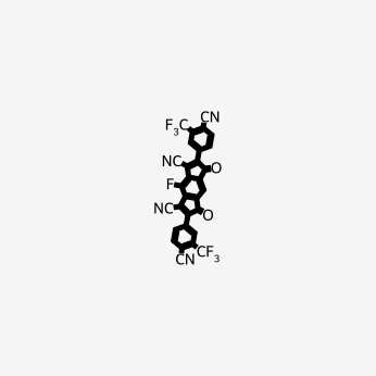 N#Cc1ccc(-c2c(C#N)c3c(F)c4c(C#N)c(-c5ccc(C#N)c(C(F)(F)F)c5)c(=O)c4cc3c2=O)cc1C(F)(F)F